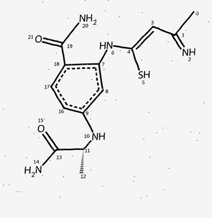 CC(=N)/C=C(\S)Nc1cc(N[C@H](C)C(N)=O)ccc1C(N)=O